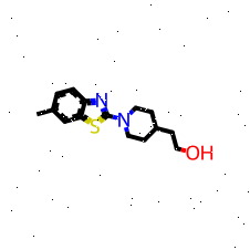 Cc1ccc2nc(N3CCC(CCO)CC3)sc2c1